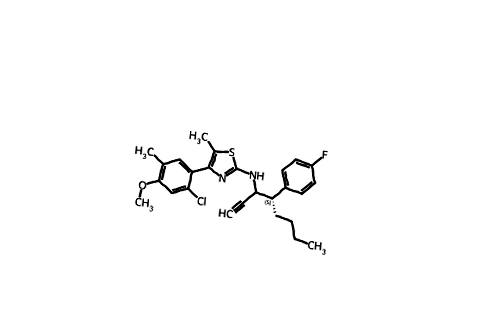 C#CC(Nc1nc(-c2cc(C)c(OC)cc2Cl)c(C)s1)[C@@H](CCCC)c1ccc(F)cc1